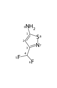 Nc1cc(C(F)F)ns1